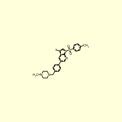 Cc1ccc(S(=O)(=O)n2cc(I)c3cc(-c4ccc(CN5CCN(C)CC5)cc4)cnc32)cc1